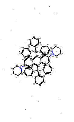 c1ccc([Si](c2ccccc2)(c2ccccc2)c2c3ccc(N4CCCCC4)cc3c([Si](c3ccccc3)(c3ccccc3)c3ccccc3)c3ccc(N4CCCCC4)cc23)cc1